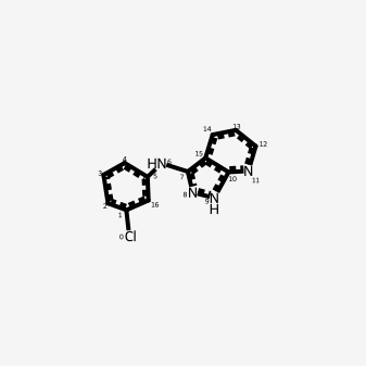 Clc1cccc(Nc2n[nH]c3ncccc23)c1